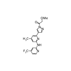 COCC(=O)n1cc(-c2cc(C)cc(Nc3cc(C(F)(F)F)ccn3)n2)cn1